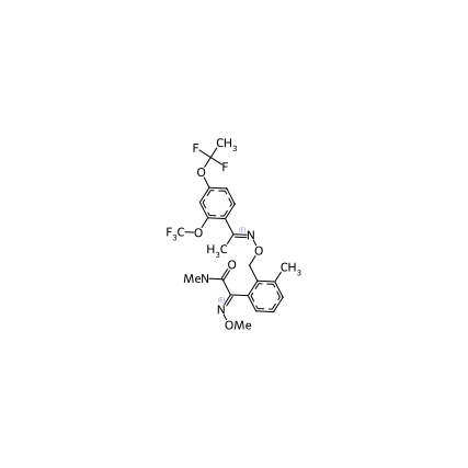 CNC(=O)/C(=N/OC)c1cccc(C)c1CO/N=C(\C)c1ccc(OC(C)(F)F)cc1OC(F)(F)F